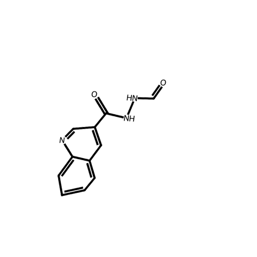 O=CNNC(=O)c1cnc2ccccc2c1